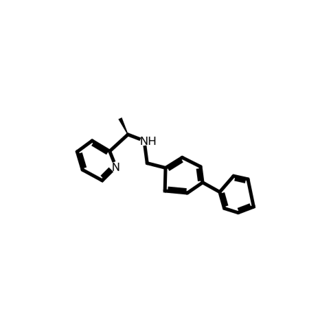 C[C@@H](NCc1ccc(-c2ccccc2)cc1)c1ccccn1